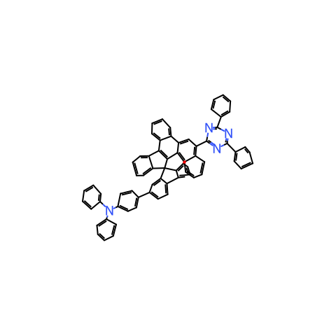 c1ccc(-c2nc(-c3ccccc3)nc(-c3cc4c5ccccc5c5c(c4c4ccccc34)C3(c4ccccc4-c4ccc(-c6ccc(N(c7ccccc7)c7ccccc7)cc6)cc43)c3ccccc3-5)n2)cc1